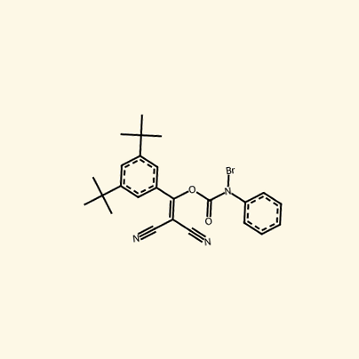 CC(C)(C)c1cc(C(OC(=O)N(Br)c2ccccc2)=C(C#N)C#N)cc(C(C)(C)C)c1